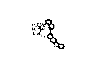 CC(C)C1OB(c2cccc3ccc(-c4ccc5cc6oc7ccccc7c6cc5c4)cc23)OC1(C)C